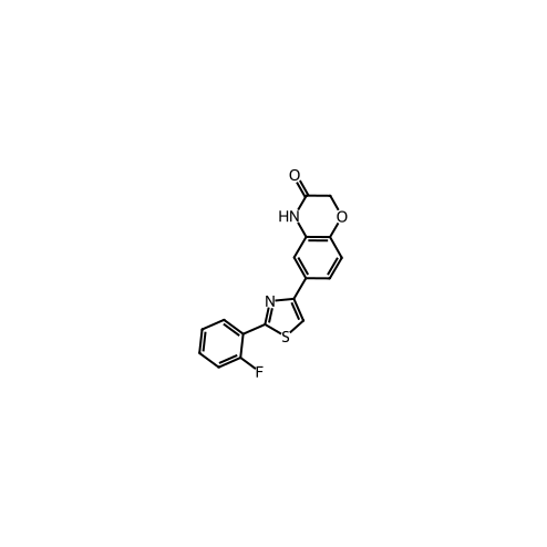 O=C1COc2ccc(-c3csc(-c4ccccc4F)n3)cc2N1